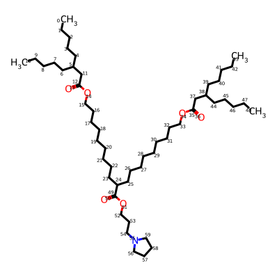 CCCCCC(CCCCC)CC(=O)OCCCCCCCCCC(CCCCCCCCCOC(=O)CC(CCCCC)CCCCC)C(=O)OCCCN1CCCC1